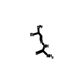 CCCC(/C=N/NC(N)=S)CC